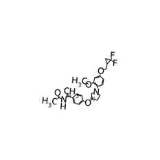 COc1cc(OCC2CC2(F)F)ccc1N1CC[C@@H](Oc2ccc([C@H](C)NC(C)=O)cc2)C1